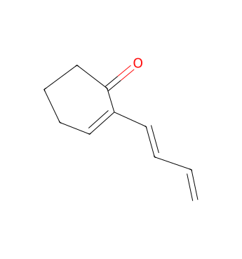 C=CC=CC1=CCCCC1=O